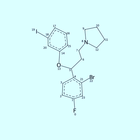 Fc1ccc(C(CCN2CCCC2)Oc2cccc(I)c2)c(Br)c1